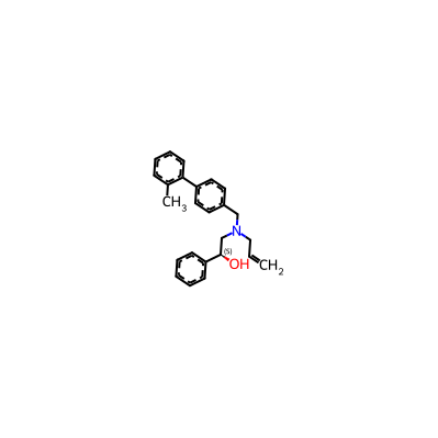 C=CCN(Cc1ccc(-c2ccccc2C)cc1)C[C@@H](O)c1ccccc1